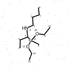 CCCCNC(CC)[Si](C)(OCC)OCC